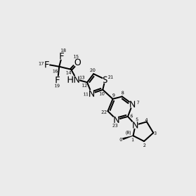 C[C@@H]1CCCN1c1ncc(-c2nc(NC(=O)C(F)(F)F)cs2)cn1